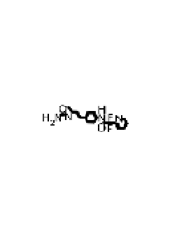 NC1=NC(CCc2ccc(NC(=O)C(F)(F)c3ccccn3)cc2)CO1